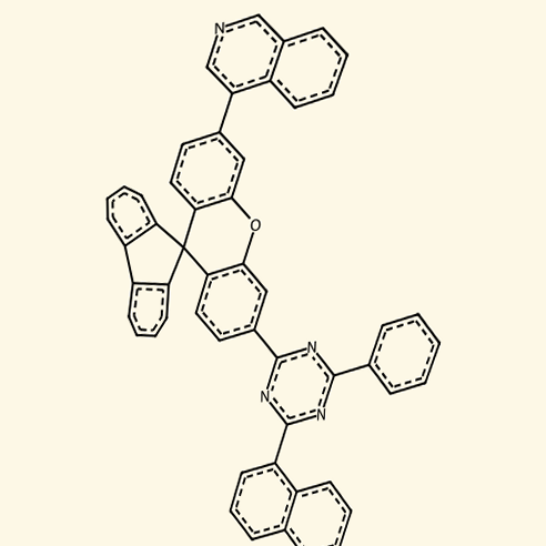 c1ccc(-c2nc(-c3ccc4c(c3)Oc3cc(-c5cncc6ccccc56)ccc3C43c4ccccc4-c4ccccc43)nc(-c3cccc4ccccc34)n2)cc1